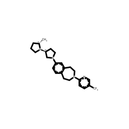 C[C@H]1CCCN1[C@H]1CCN(c2ccc3c(c2)CCN(c2ccc(C(F)(F)F)cn2)CC3)C1